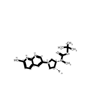 CN(C(=O)OC(C)(C)C)[C@H]1CN(c2cnc3nc(O)ccc3c2)C[C@H]1F